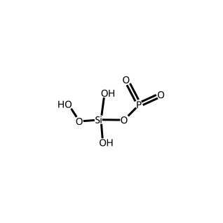 O=P(=O)O[Si](O)(O)OO